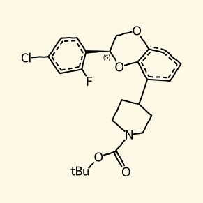 CC(C)(C)OC(=O)N1CCC(c2cccc3c2O[C@@H](c2ccc(Cl)cc2F)CO3)CC1